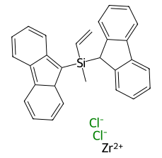 C=C[Si](C)(C1=c2ccccc2=C2C=CC=CC21)C1c2ccccc2-c2ccccc21.[Cl-].[Cl-].[Zr+2]